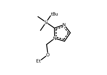 CCOCn1ccnc1[Si](C)(C)C(C)(C)C